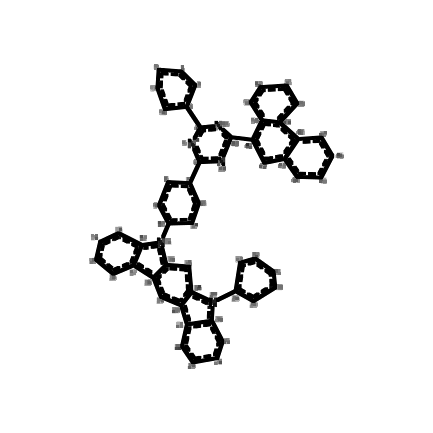 c1ccc(-c2nc(-c3ccc(-n4c5ccccc5c5cc6c7ccccc7n(-c7ccccc7)c6cc54)cc3)nc(-c3cc4ccccc4c4ccccc34)n2)cc1